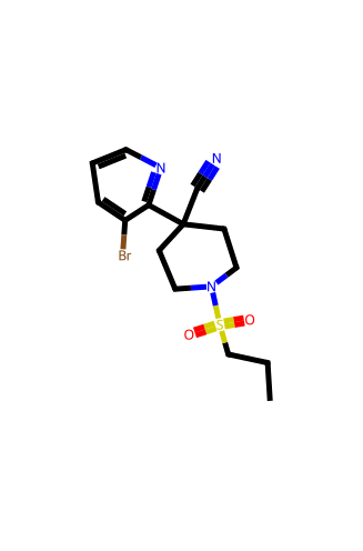 CCCS(=O)(=O)N1CCC(C#N)(c2ncccc2Br)CC1